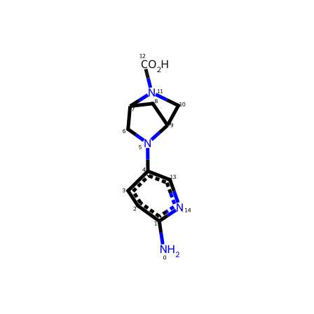 Nc1ccc(N2CC3CC2CN3C(=O)O)cn1